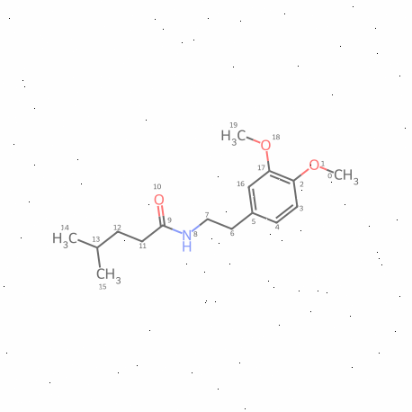 COc1ccc(CCNC(=O)CCC(C)C)cc1OC